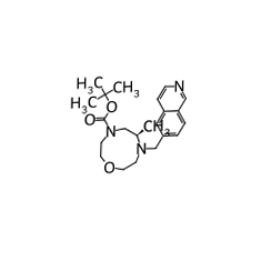 C[C@@H]1CN(C(=O)OC(C)(C)C)CCOCCN1Cc1ccc2cnccc2c1